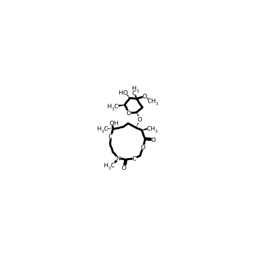 CO[C@]1(C)C[C@H](O[C@H]2CC[C@](C)(O)CCCN(C)C(=O)CCOC(=O)[C@@H]2C)O[C@@H](C)[C@@H]1O